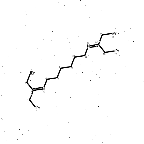 CC(C)CC(CC(C)C)=NCCCCCCN=C(CC(C)C)CC(C)C